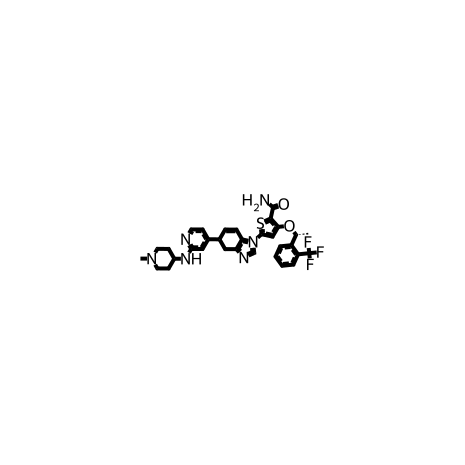 C[C@@H](Oc1cc(-n2cnc3c2C=CC(c2ccnc(NC4CCN(C)CC4)c2)C3)sc1C(N)=O)c1ccccc1C(F)(F)F